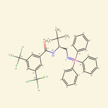 CC(C)(C)[C@@H](CN=P(c1ccccc1)(c1ccccc1)c1ccccc1)NC(=O)c1cc(C(F)(F)F)cc(C(F)(F)F)c1